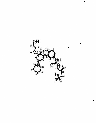 Cc1ccc(NC(=O)N2CC=C(CC(F)(F)F)C2)cc1-c1cc(NCCO)nc(N2CCOCC2)c1